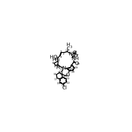 CC1C/C=C/[C@H](O)[C@@H]2CC[C@H]2CN2C[C@@]3(CCCc4cc(Cl)ccc43)COc3ccc(cc32)C(=O)NS(=O)(=O)N1